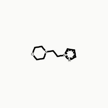 [c]1ccn(CCN2CCOCC2)n1